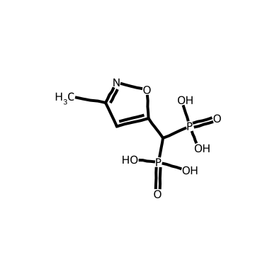 Cc1cc(C(P(=O)(O)O)P(=O)(O)O)on1